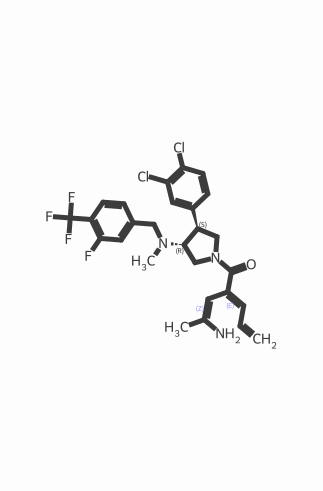 C=C/C=C(\C=C(\C)N)C(=O)N1C[C@H](c2ccc(Cl)c(Cl)c2)[C@@H](N(C)Cc2ccc(C(F)(F)F)c(F)c2)C1